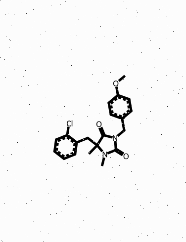 COc1ccc(CN2C(=O)N(C)C(C)(Cc3ccccc3Cl)C2=O)cc1